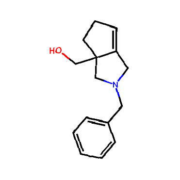 OCC12CCC=C1CN(Cc1ccccc1)C2